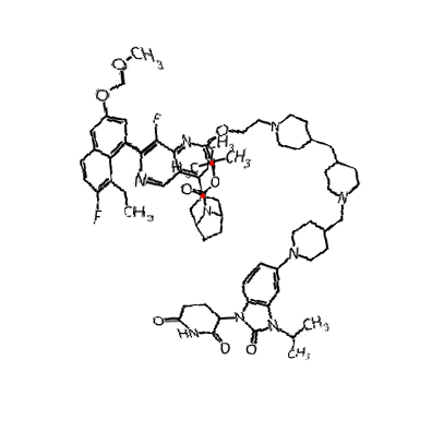 CCc1c(F)ccc2cc(OCOC)cc(-c3ncc4c(N5CC6CCC(C5)N6C(=O)OC(C)(C)C)nc(OCCN5CCC(CC6CCN(CC7CCN(c8ccc9c(c8)n(C(C)C)c(=O)n9C8CCC(=O)NC8=O)CC7)CC6)CC5)nc4c3F)c12